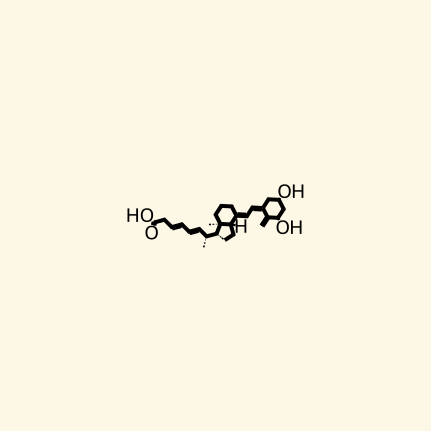 C=C1/C(=C\C=C2CCC[C@]3(C)[C@@H]([C@H](C)C=CC=CCC(=O)O)CC[C@@H]23)C[C@H](O)C[C@H]1O